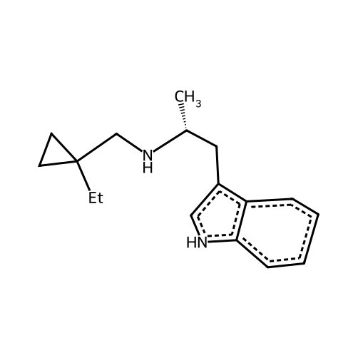 CCC1(CN[C@H](C)Cc2c[nH]c3ccccc23)CC1